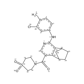 Cc1ccc(Nc2ncc(C(=O)N3CCS(=O)(=O)CC3)c3c2C2CCC3C2)cc1Cl